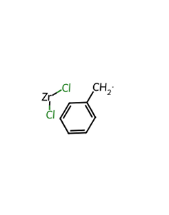 [CH2]c1ccccc1.[Cl][Zr][Cl]